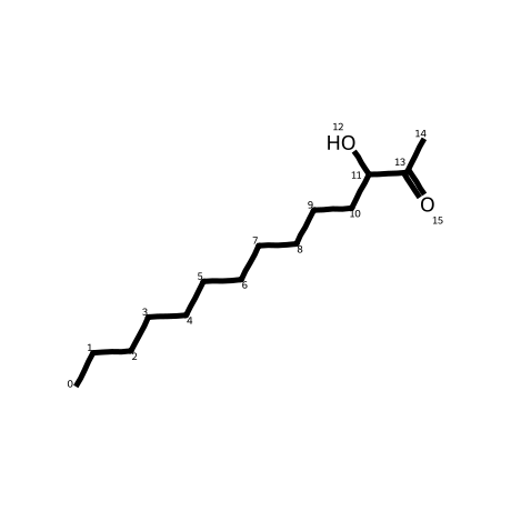 CCCCCCCCCCCC(O)C(C)=O